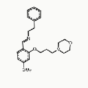 COc1ccc(C=NCCc2ccccc2)c(OCCCN2CCOCC2)c1